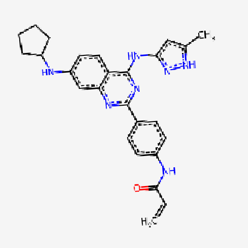 C=CC(=O)Nc1ccc(-c2nc(Nc3cc(C)[nH]n3)c3ccc(NC4CCCC4)cc3n2)cc1